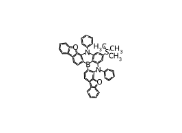 CS(C)(C)c1cc2c3c(c1)N(c1ccccc1)c1c(ccc4c1oc1ccccc14)B3c1ccc3c(oc4ccccc43)c1N2c1ccccc1